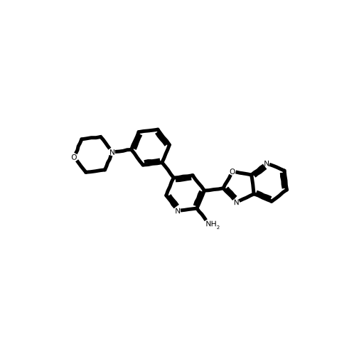 Nc1ncc(-c2cccc(N3CCOCC3)c2)cc1-c1nc2cccnc2o1